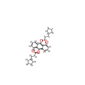 O=C(CCC1CCCC1)Oc1c2ccccc2c(OC(=O)CCC2CCCC2)c2ccccc12